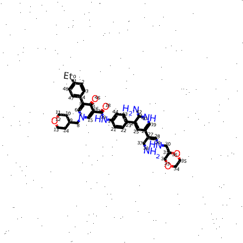 CCc1ccc(-c2cn(CC3CCOCC3)cc(C(=O)Nc3ccc(C4=CC(/C(=C/NCC5COCCO5)CN)=CNC4N)cc3)c2=O)cc1